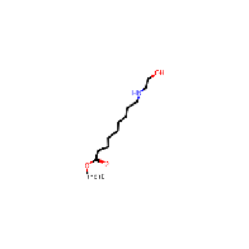 CCCCCOC(=O)CCCCCCCCNCCO